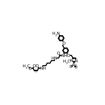 COC(=O)/C=C\C(=O)NCCCCCCNCC(=O)Nc1cc(COc2ccc(N)cc2)ccc1OCc1cnc([N+](=O)[O-])n1C